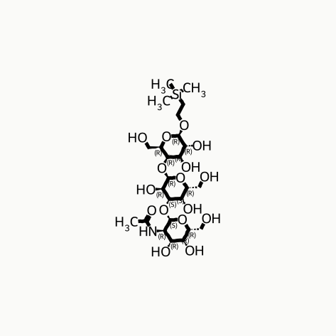 CC(=O)N[C@H]1[C@H](O[C@H]2[C@@H](O)[C@@H](CO)O[C@H](O[C@@H]3[C@H](O)[C@@H](O)[C@H](OCC[Si](C)(C)C)O[C@@H]3CO)[C@@H]2O)O[C@H](CO)[C@H](O)[C@@H]1O